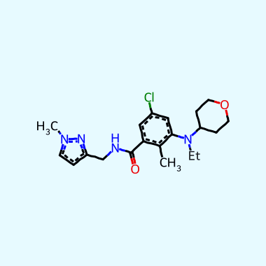 CCN(c1cc(Cl)cc(C(=O)NCc2ccn(C)n2)c1C)C1CCOCC1